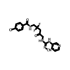 N#CN=C(NCC(=O)CC(F)(F)CNC(=O)c1ccc(Cl)cc1)Nc1cccnc1